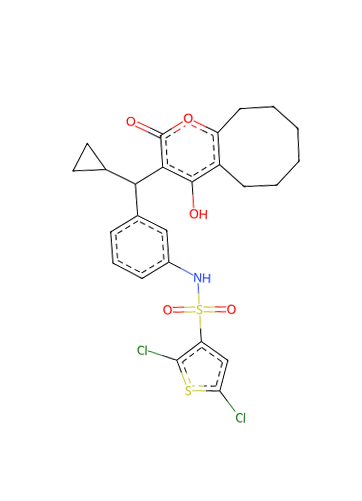 O=c1oc2c(c(O)c1C(c1cccc(NS(=O)(=O)c3cc(Cl)sc3Cl)c1)C1CC1)CCCCCC2